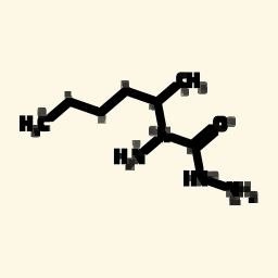 CCCCC(C)N(N)C(=O)NN